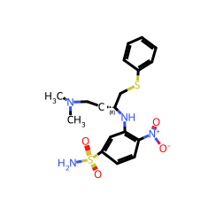 CN(C)CC[C@H](CSc1ccccc1)Nc1cc(S(N)(=O)=O)ccc1[N+](=O)[O-]